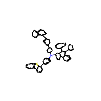 c1ccc(-c2c(-c3ccccc3)c3cc(N(c4ccc(-c5ccc(-c6cccc7ccccc67)cc5)cc4)c4ccc(-c5cccc6c5sc5ccccc56)cc4)ccc3c3ccccc23)cc1